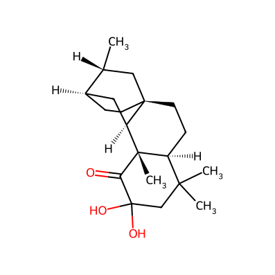 C[C@@H]1C[C@@]23CC[C@@H]1C[C@@H]2[C@@]1(C)C(=O)C(O)(O)CC(C)(C)[C@@H]1CC3